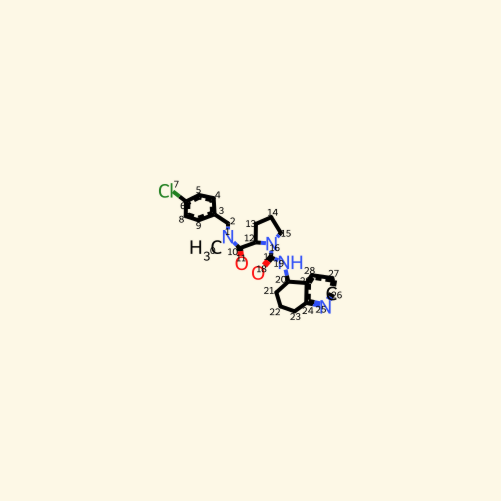 CN(Cc1ccc(Cl)cc1)C(=O)C1CCCN1C(=O)NC1CCCc2ncccc21